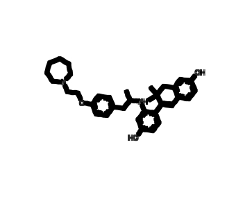 CC(Cc1ccc(OCCN2CCCCCC2)cc1)Nc1cc(O)ccc1C1=Cc2ccc(O)cc2CC1(C)C